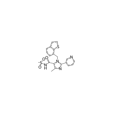 Cc1nc(-c2cccnc2)n(Cc2cccc3ccsc23)c1C(=O)NS(C)(=O)=O